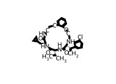 C=C(c1cccc(Cl)c1)[C@H]1NCCOc2ccccc2CCCNC(=O)[C@H](CC2CC2)NC(=O)[C@@H](C(C)C)NC1=O